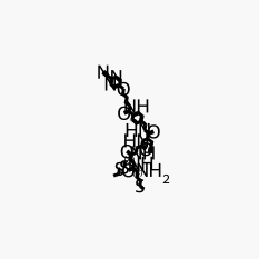 C#CCC(NC(=O)CNC(=O)[C@@H](CSSCC)NC(=O)[C@H](N)CCSC)C(=O)NCc1ccc(C(=O)NCCCOc2cnc(C#N)nc2)cc1